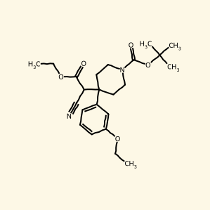 CCOC(=O)C(C#N)C1(c2cccc(OCC)c2)CCN(C(=O)OC(C)(C)C)CC1